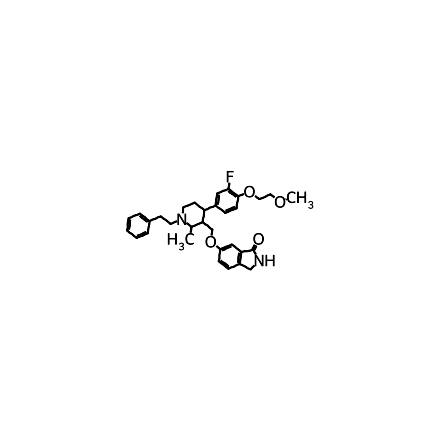 COCCOc1ccc(C2CCN(CCc3ccccc3)C(C)C2COc2ccc3c(c2)C(=O)NC3)cc1F